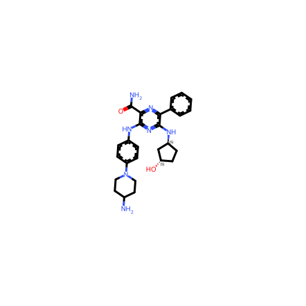 NC(=O)c1nc(-c2ccccc2)c(N[C@H]2CC[C@H](O)C2)nc1Nc1ccc(N2CCC(N)CC2)cc1